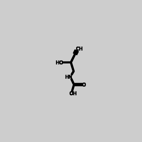 C#CC(O)CNC(=O)O